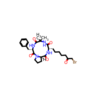 CC1(C)NC(=O)[C@H](CCCCCC(=O)CBr)NC(=O)[C@H]2CCCN2C(=O)[C@H](Cc2ccccc2)NC1=O